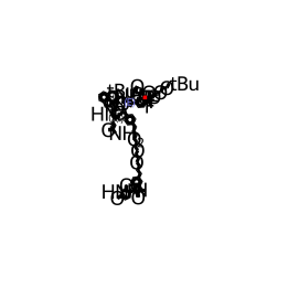 C/C(=C\C(=O)N[C@H]1CCc2cccc3c2N(C1=O)[C@H](C(=O)N[C@@H](CCC(N)=O)[C@@H](C)OCc1ccc(CCCOCCOCCOCCCc2ccc4c(c2)n(C)c(=O)n4C2CCC(=O)NC2=O)cc1)C3)c1ccc(C(F)(F)P(=O)(OCOCOCC(C)(C)C)OCOC(=O)C(C)(C)C)cc1